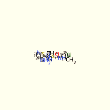 Cc1cc(NC(=O)CSc2nnc(-c3sc4ncccc4c3N)n2C)ccc1Cl